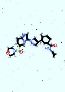 Cc1ccc(C(=O)NC2CC2)cc1-c1cnn(-c2cnc3ccc([S+]([O-])N4CCOCC4)cn23)c1